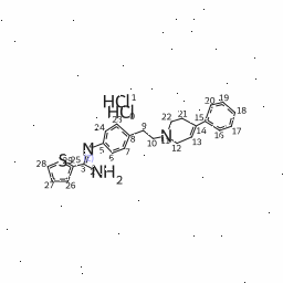 Cl.Cl.N/C(=N\c1ccc(CCN2CC=C(c3ccccc3)CC2)cc1)c1cccs1